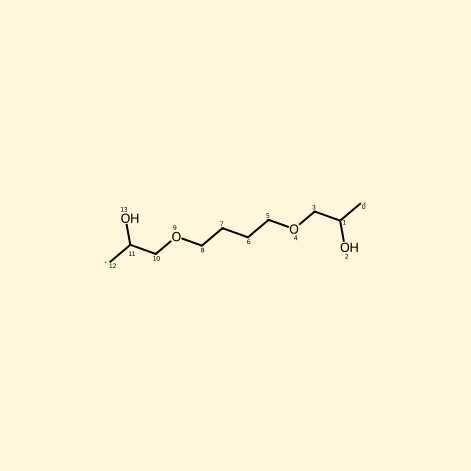 [CH2]C(O)COCCCCOCC([CH2])O